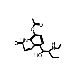 CCNC(CC)C(O)c1ccc(OC(C)=O)c2[nH]c(=O)ccc12